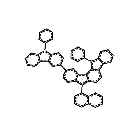 c1ccc(-n2c3ccccc3c3cc(-c4ccc5c(c4)c4c(ccc6c7ccccc7n(-c7ccccc7)c64)n5-c4cccc5ccccc45)ccc32)cc1